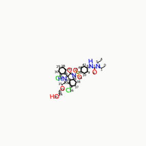 CCN(CC)C(=O)Nc1ccc(S(=O)(=O)N2C(=O)C(NCCOCCO)(c3ccccc3Cl)c3cc(Cl)ccc32)cc1